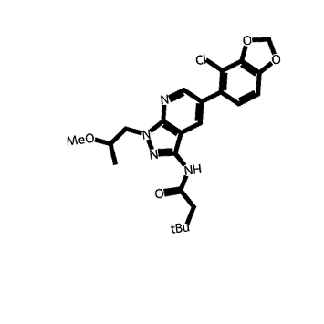 COC(C)Cn1nc(NC(=O)CC(C)(C)C)c2cc(-c3ccc4c(c3Cl)OCO4)cnc21